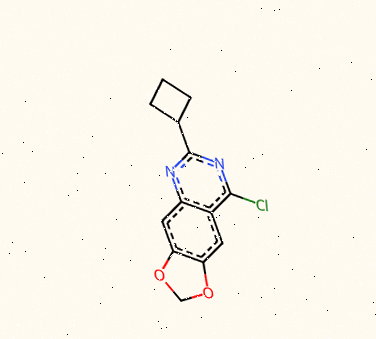 Clc1nc(C2CCC2)nc2cc3c(cc12)OCO3